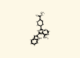 COC(=O)C1CCC(c2nc(-c3cc4ccccc4[nH]3)c3c(N)ncnn23)CC1